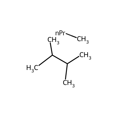 CC(C)C(C)C.CCCC